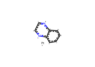 [Pt].c1ccc2nccnc2c1